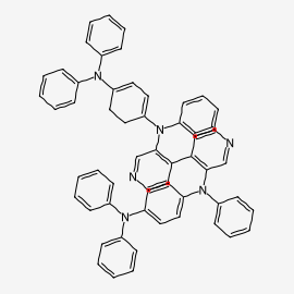 c1ncc(N(c2c#cc(N(c3ccccc3)c3ccccc3)cc2)c2ccccc2)c(C2=C(N(C3=CC=C(N(c4ccccc4)c4ccccc4)CC3)c3ccccc3)C=NCC2)c#1